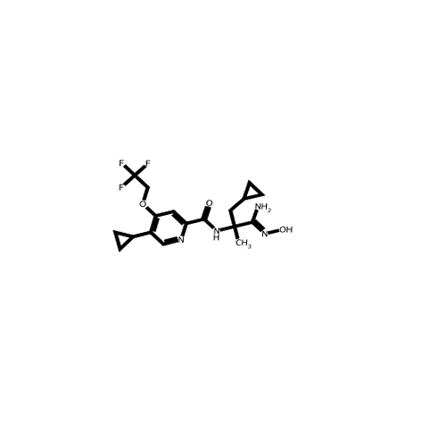 CC(CC1CC1)(NC(=O)c1cc(OCC(F)(F)F)c(C2CC2)cn1)/C(N)=N/O